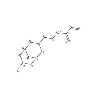 C=CC(=O)OCCC1CC2CC(C)CC(C1)C2